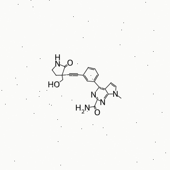 Cn1ccc2c(-c3cccc(C#CC4(CO)CCNC4=O)c3)nc(C(N)=O)nc21